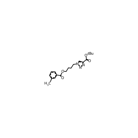 Cc1cccc(C(=O)OCCCCn2cc(C(=O)OC(C)(C)C)nn2)c1